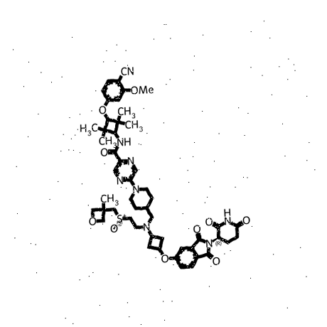 COc1cc(OC2C(C)(C)C(NC(=O)c3cnc(N4CCC(CN(CC[S@+]([O-])CC5(C)COC5)C5CC(Oc6ccc7c(c6)C(=O)N([C@@H]6CCC(=O)NC6=O)C7=O)C5)CC4)cn3)C2(C)C)ccc1C#N